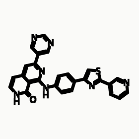 O=c1[nH]ccc2cc(-c3cncnc3)nc(Nc3ccc(-c4csc(-c5cccnc5)n4)cc3)c12